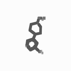 O=C(O)N1CCC(c2cncc(C(F)(F)F)c2)CC1